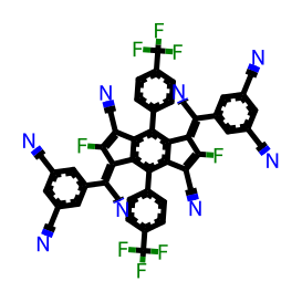 N#CC1=C(F)/C(=C(/C#N)c2cc(C#N)cc(C#N)c2)c2c1c(-c1ccc(C(F)(F)F)cc1)c1c(c2-c2ccc(C(F)(F)F)cc2)C(C#N)=C(F)/C1=C(/C#N)c1cc(C#N)cc(C#N)c1